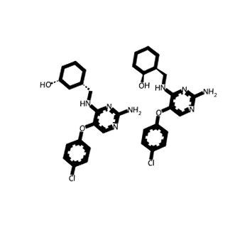 Nc1ncc(Oc2ccc(Cl)cc2)c(NC[C@@H]2CCCC[C@@H]2O)n1.Nc1ncc(Oc2ccc(Cl)cc2)c(NC[C@H]2CCC[C@@H](O)C2)n1